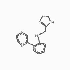 c1ccc(-c2cnccn2)c(NCC2=NCCN2)c1